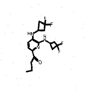 CCCC(=O)c1ccc(NC2CC(F)(F)C2)c(NC2CC(F)(F)C2)n1